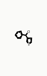 ClC(c1ccccc1)c1ccsc1